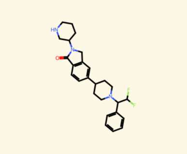 O=C1c2ccc(C3CCN(C(c4ccccc4)C(F)F)CC3)cc2CN1C1CCCNC1